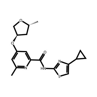 Cc1cc(O[C@H]2CO[C@H](C)C2)cc(C(=O)Nc2nc(C3CC3)cs2)n1